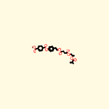 C=C(C)C(=O)OC(C)COC(=O)CCC(=O)OCCc1ccc(OC(=O)C2CCC(C(=O)OC)CC2)cc1